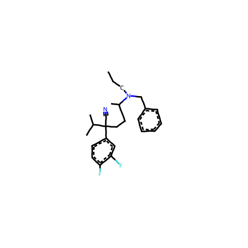 CCCN(Cc1ccccc1)C(C)CCC(C#N)(c1ccc(F)c(F)c1)C(C)C